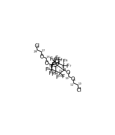 FC1(F)C2(F)C(F)(F)C3(OCOCCCl)C(F)(F)C1(F)C(F)(F)C(OCOCCCl)(C2(F)F)C3(F)F